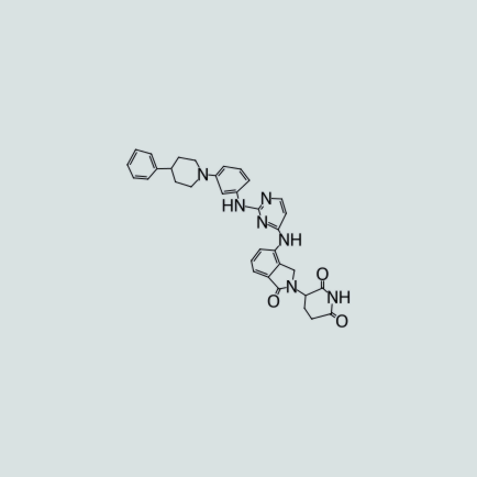 O=C1CCC(N2Cc3c(Nc4ccnc(Nc5cccc(N6CCC(c7ccccc7)CC6)c5)n4)cccc3C2=O)C(=O)N1